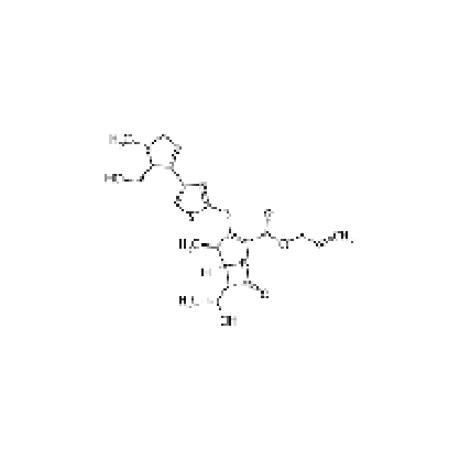 C=CCOC(=O)C1=C(Sc2nc(C3=CCN(C)[C@@H]3CO)cs2)[C@H](C)[C@@H]2[C@@H]([C@@H](C)O)C(=O)N12